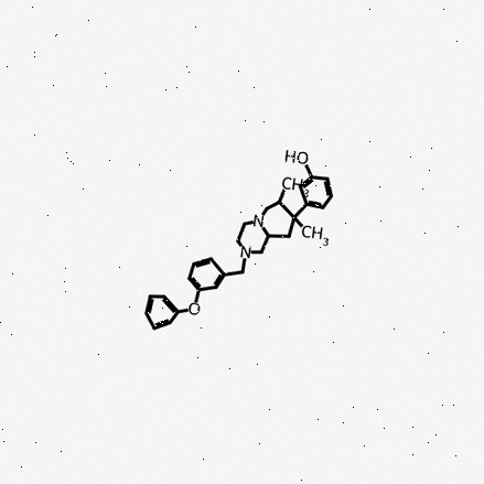 CC1CN2CCN(Cc3cccc(Oc4ccccc4)c3)CC2CC1(C)c1cccc(O)c1